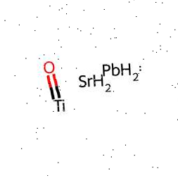 [O]=[Ti].[PbH2].[SrH2]